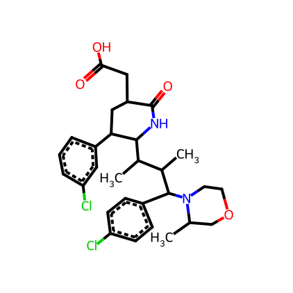 CC(C(C)C(c1ccc(Cl)cc1)N1CCOCC1C)C1NC(=O)C(CC(=O)O)CC1c1cccc(Cl)c1